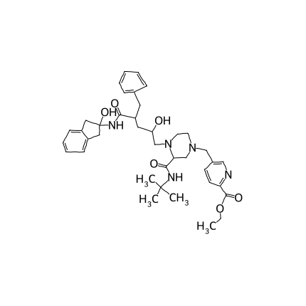 CCOC(=O)c1ccc(CN2CCN(CC(O)CC(Cc3ccccc3)C(=O)NC3(O)Cc4ccccc4C3)C(C(=O)NC(C)(C)C)C2)cn1